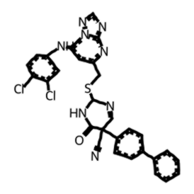 N#CC1(c2ccc(-c3ccccc3)cc2)C=NC(SCc2cc(Nc3ccc(Cl)c(Cl)c3)n3ncnc3n2)NC1=O